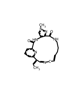 C/C=C1\C=N/C/C=C/CCCNC(=O)c2nn(C)cc2NC(=O)c2cccc1n2